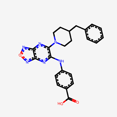 O=C(O)c1ccc(Nc2nc3nonc3nc2N2CCC(Cc3ccccc3)CC2)cc1